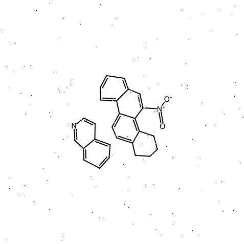 O=[N+]([O-])c1cc2ccccc2c2ccc3c(c12)CCCC3.c1ccc2cnccc2c1